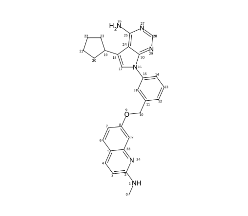 CNc1ccc2ccc(OCc3cccc(-n4cc(C5CCCC5)c5c(N)ncnc54)c3)cc2n1